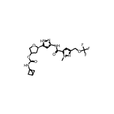 Cn1nc(COC(F)(F)F)cc1C(=O)Nc1cc(C2CC(OC(=O)NC34CC(C3)C4)CO2)[nH]n1